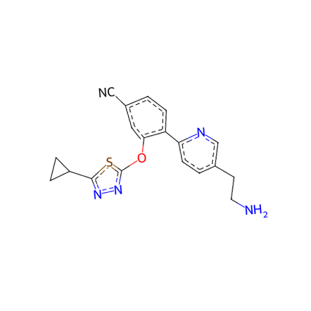 N#Cc1ccc(-c2ccc(CCN)cn2)c(Oc2nnc(C3CC3)s2)c1